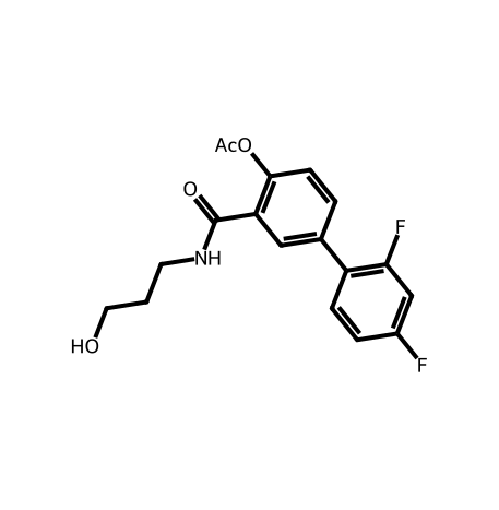 CC(=O)Oc1ccc(-c2ccc(F)cc2F)cc1C(=O)NCCCO